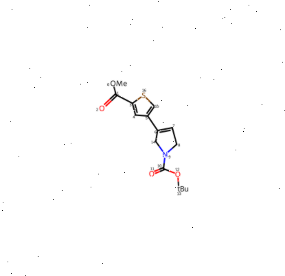 COC(=O)c1cc(C2=CCN(C(=O)OC(C)(C)C)C2)cs1